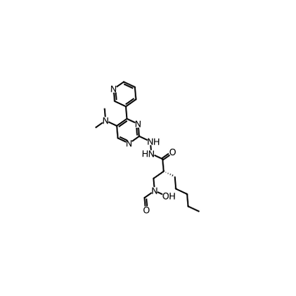 CCCCC[C@H](CN(O)C=O)C(=O)NNc1ncc(N(C)C)c(-c2cccnc2)n1